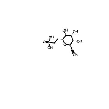 C#C[C@H]1O[C@H](CCP(=O)(O)O)[C@@H](O)[C@H](O)[C@@H]1O